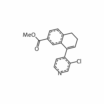 COC(=O)c1ccc2c(c1)C(c1ccncc1Cl)=CCC2